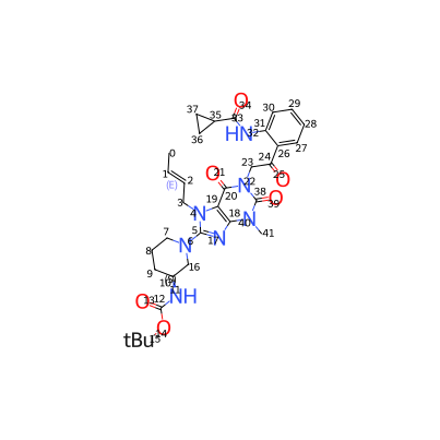 C/C=C/Cn1c(N2CCC[C@H](NC(=O)OC(C)(C)C)C2)nc2c1c(=O)n(CC(=O)c1ccccc1NC(=O)C1CC1)c(=O)n2C